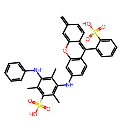 C=c1ccc2c(c1)Oc1cc(Nc3c(C)c(Nc4ccccc4)c(C)c(S(=O)(=O)O)c3C)ccc1C=2c1ccccc1S(=O)(=O)O